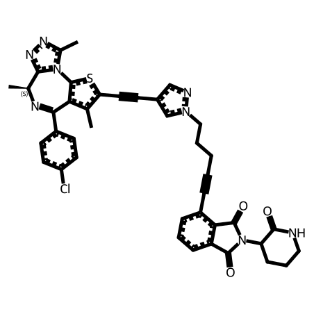 Cc1c(C#Cc2cnn(CCCC#Cc3cccc4c3C(=O)N(C3CCCNC3=O)C4=O)c2)sc2c1C(c1ccc(Cl)cc1)=N[C@@H](C)c1nnc(C)n1-2